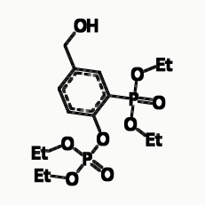 CCOP(=O)(OCC)Oc1ccc(CO)cc1P(=O)(OCC)OCC